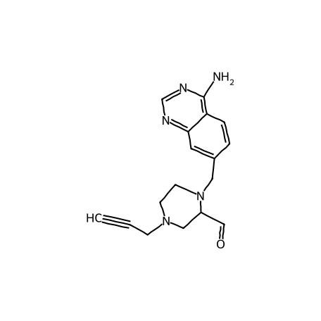 C#CCN1CCN(Cc2ccc3c(N)ncnc3c2)C(C=O)C1